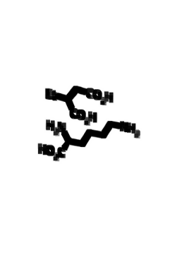 CCC(CC(=O)O)C(=O)O.NCCCC[C@H](N)C(=O)O